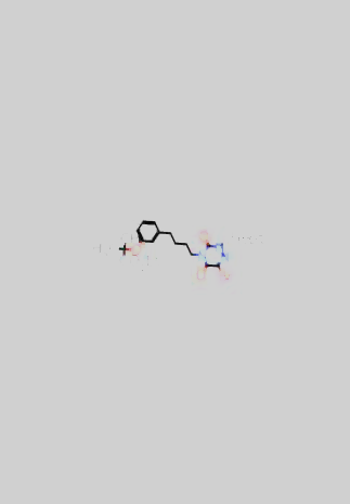 CCCCCCCn1nc(Br)c(=O)n(CCCCc2cccc(OC(C)(C)C(=O)OCC)c2)c1=O